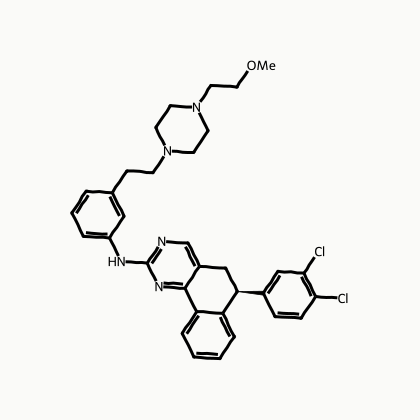 COCCN1CCN(CCc2cccc(Nc3ncc4c(n3)-c3ccccc3[C@H](c3ccc(Cl)c(Cl)c3)C4)c2)CC1